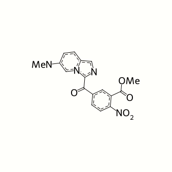 CNc1ccc2cnc(C(=O)c3ccc([N+](=O)[O-])c(C(=O)OC)c3)n2c1